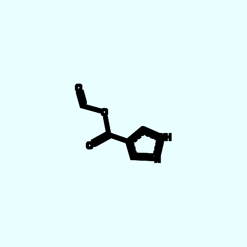 O=COC(=O)c1cn[nH]c1